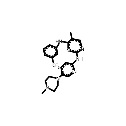 Cc1cnc(Nc2ccc(N3CCN(C)CC3)cn2)nc1Nc1cccc(C(F)(F)F)c1